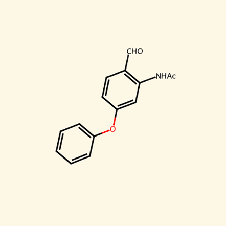 CC(=O)Nc1cc(Oc2ccccc2)ccc1C=O